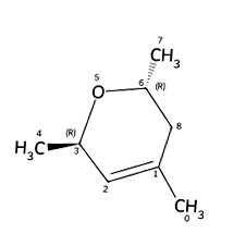 CC1=C[C@@H](C)O[C@H](C)C1